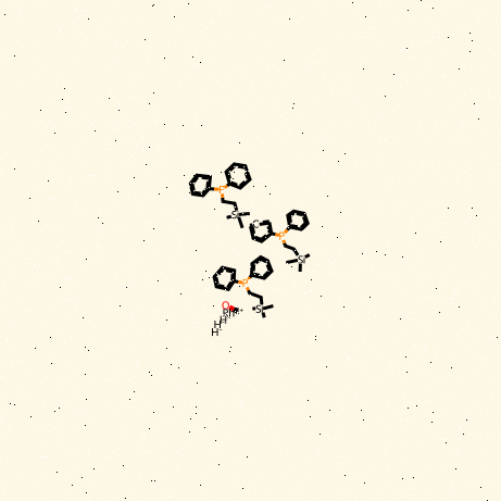 C[Si](C)(C)CCP(c1ccccc1)c1ccccc1.C[Si](C)(C)CCP(c1ccccc1)c1ccccc1.C[Si](C)(C)CCP(c1ccccc1)c1ccccc1.[C]=O.[H-].[H-].[H-].[Rh+3]